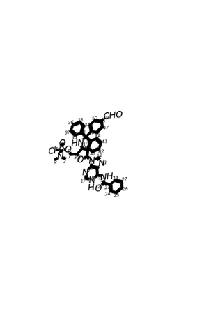 CN(C)P(=O)(Cl)OCC1OC(n2cnc3c2N=CNC3NC(=O)c2ccccc2)CC1NC(c1ccccc1)(c1ccccc1)c1ccc(C=O)cc1